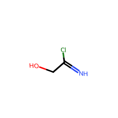 N=C(Cl)CO